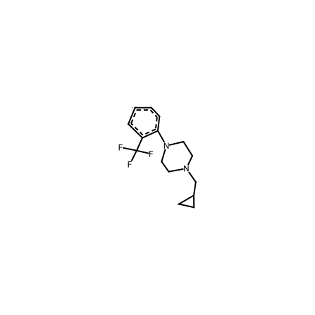 FC(F)(F)c1c[c]ccc1N1CCN(CC2CC2)CC1